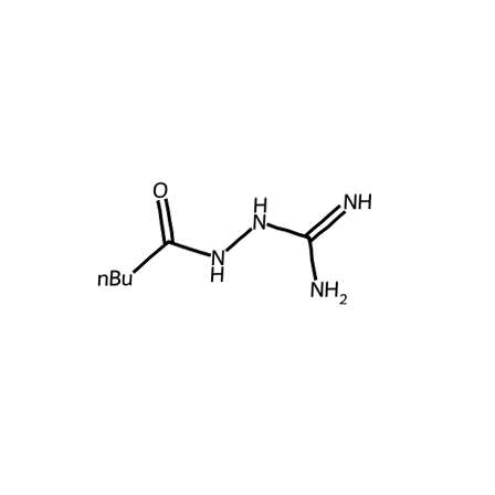 CCCCC(=O)NNC(=N)N